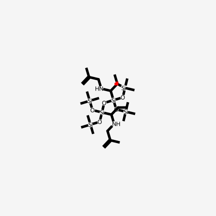 C=C(C)CNC(CC)[Si](O[Si](C)(C)C)(O[Si](C)(C)C)O[Si](O[Si](C)(C)C)(O[Si](C)(C)C)C(CC)NCC(=C)C